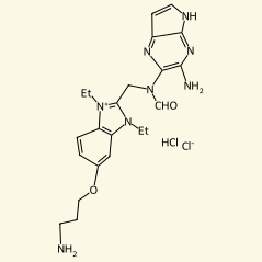 CCn1c(CN(C=O)c2nc3cc[nH]c3nc2N)[n+](CC)c2ccc(OCCCN)cc21.Cl.[Cl-]